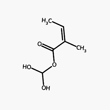 CC=C(C)C(=O)OC(O)O